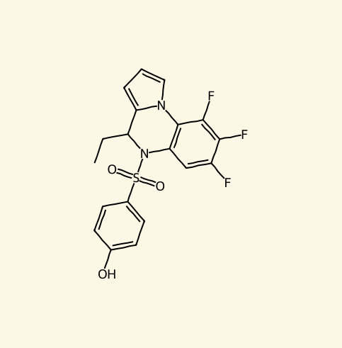 CCC1c2cccn2-c2c(cc(F)c(F)c2F)N1S(=O)(=O)c1ccc(O)cc1